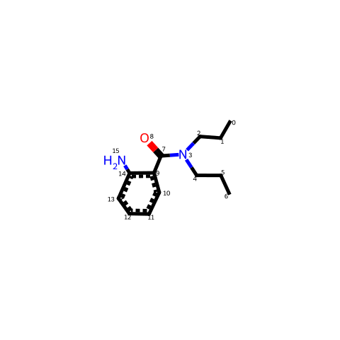 CCCN(CCC)C(=O)c1ccccc1N